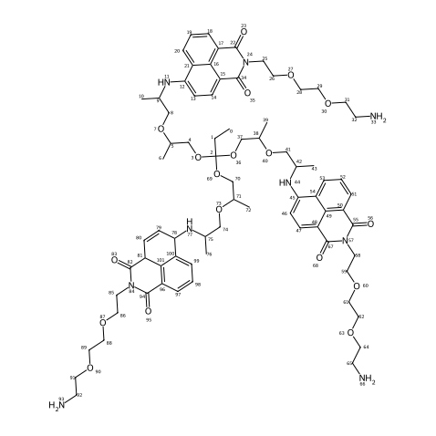 CCC(OCC(C)OCC(C)Nc1ccc2c3c(cccc13)C(=O)N(CCOCCOCCN)C2=O)(OCC(C)OCC(C)Nc1ccc2c3c(cccc13)C(=O)N(CCOCCOCCN)C2=O)OCC(C)OCC(C)NC1C=CC2C(=O)N(CCOCCOCCN)C(=O)c3cccc1c32